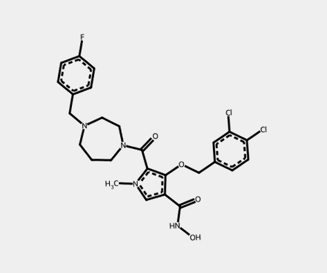 Cn1cc(C(=O)NO)c(OCc2ccc(Cl)c(Cl)c2)c1C(=O)N1CCCN(Cc2ccc(F)cc2)CC1